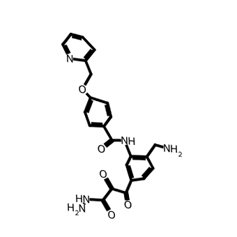 NCc1ccc(C(=O)C(=O)C(=O)NN)cc1NC(=O)c1ccc(OCc2ccccn2)cc1